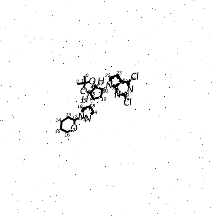 CC1(C)O[C@@H]2[C@H](O1)[C@@H](c1cnn(C3CCCCO3)c1)C[C@H]2n1ccc2c(Cl)nc(Cl)nc21